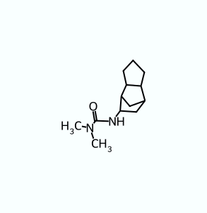 CN(C)C(=O)NC1CC2CC1C1CCCC21